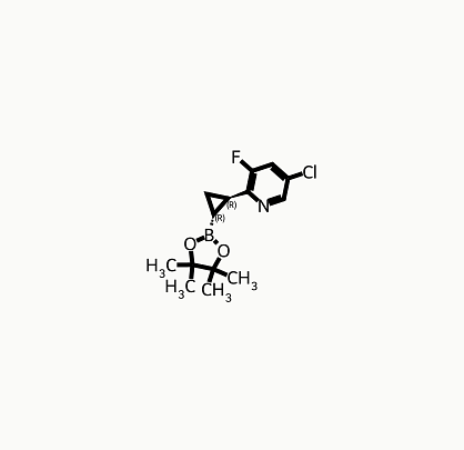 CC1(C)OB([C@@H]2C[C@H]2c2ncc(Cl)cc2F)OC1(C)C